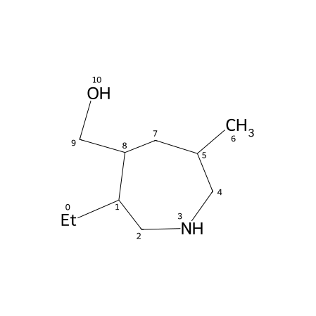 CCC1CNCC(C)CC1CO